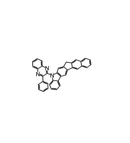 c1ccc(-c2nc3ccccc3nc2-n2c3ccccc3c3cc4c(cc32)Cc2cc3ccccc3cc2-4)cc1